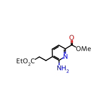 CCOC(=O)CCc1ccc(C(=O)OC)nc1N